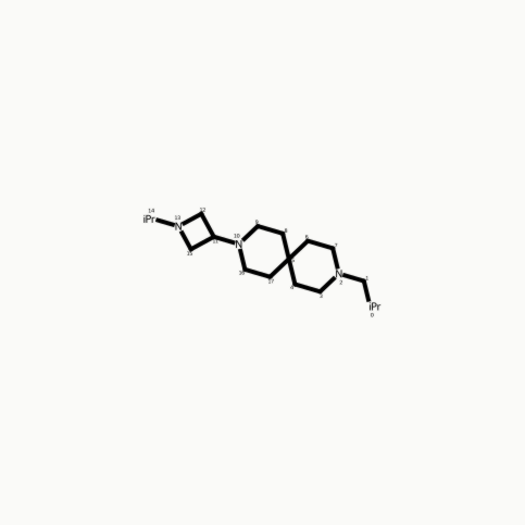 CC(C)CN1CCC2(CC1)CCN(C1CN(C(C)C)C1)CC2